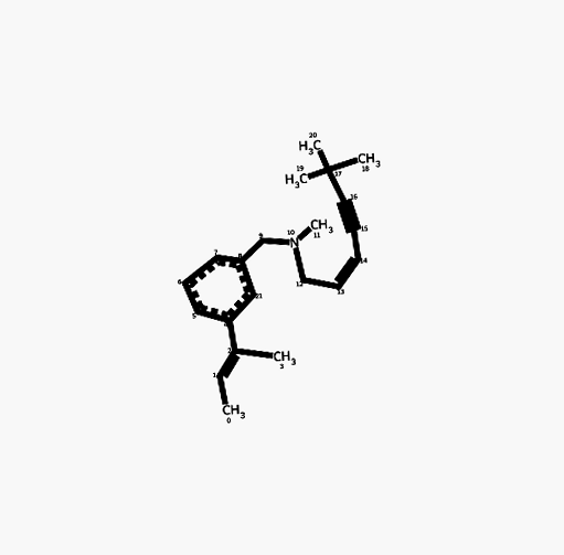 C/C=C(\C)c1cccc(CN(C)C/C=C\C#CC(C)(C)C)c1